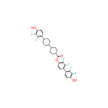 O=C(Oc1ccc(-c2ccc(O)c(F)c2F)c(F)c1F)C1CCC(C2CCC(c3ccc(O)c(F)c3F)CC2)CC1